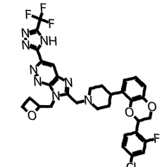 Fc1cc(Cl)ccc1C1COc2cccc(C3CCN(Cc4nc5cc(-c6nnc(C(F)(F)F)[nH]6)nnc5n4CC4CCO4)CC3)c2O1